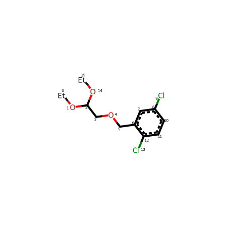 CCOC(COCc1cc(Cl)ccc1Cl)OCC